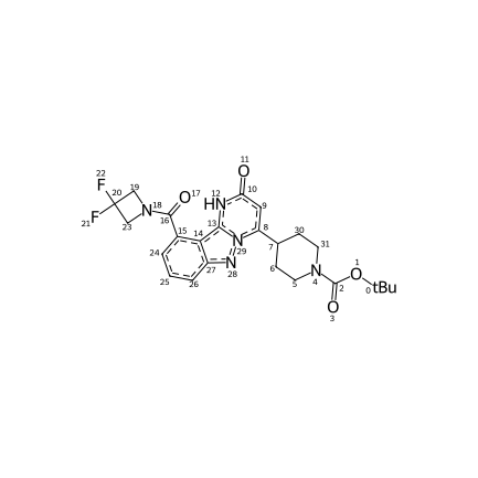 CC(C)(C)OC(=O)N1CCC(c2cc(=O)[nH]c3c4c(C(=O)N5CC(F)(F)C5)cccc4nn23)CC1